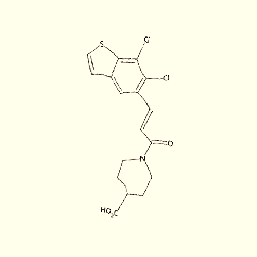 O=C(O)C1CCN(C(=O)C=Cc2cc3ccsc3c(Cl)c2Cl)CC1